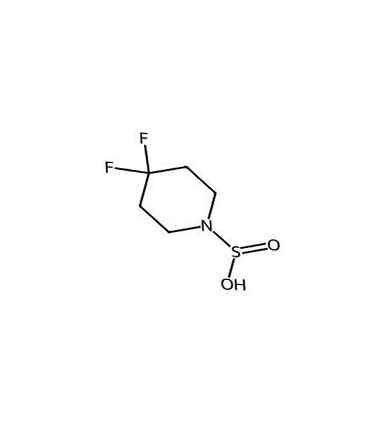 O=S(O)N1CCC(F)(F)CC1